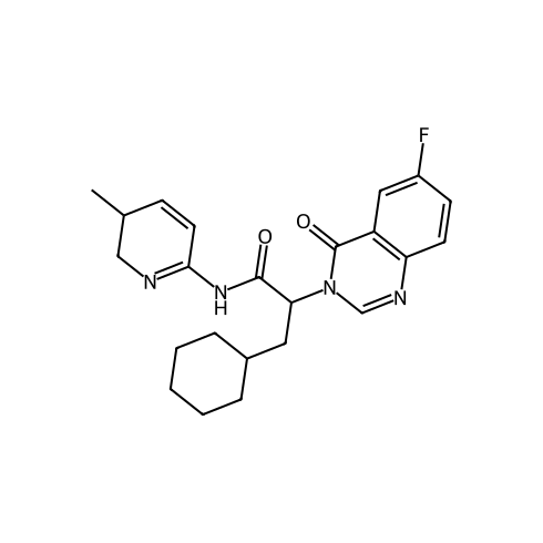 CC1C=CC(NC(=O)C(CC2CCCCC2)n2cnc3ccc(F)cc3c2=O)=NC1